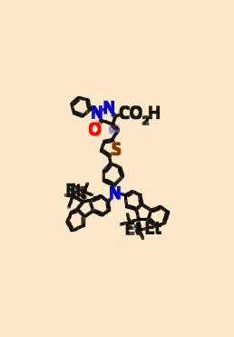 CCC(C)(C)C1(C(C)(C)CC)c2ccccc2-c2ccc(N(c3ccc(-c4ccc(/C=C5\C(=O)N(c6ccccc6)N=C5C(=O)O)s4)cc3)c3ccc4c(c3)C(C(C)(C)CC)(C(C)(C)CC)c3ccccc3-4)cc21